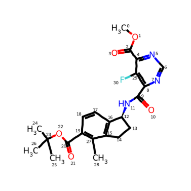 COC(=O)c1ncnc(C(=O)N[C@H]2CCc3c2ccc(C(=O)OC(C)(C)C)c3C)c1F